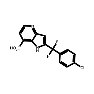 O=C(O)c1ccnc2cc(C(F)(F)c3ccc(Cl)cc3)[nH]c12